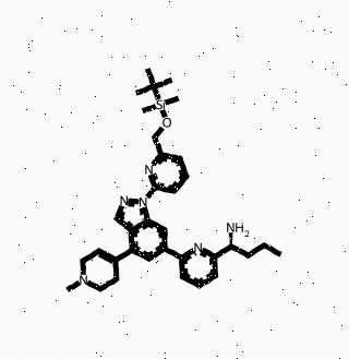 CCC[C@H](N)c1cccc(-c2cc(C3=CCN(C)CC3)c3cnn(-c4cccc(CO[Si](C)(C)C(C)(C)C)n4)c3c2)n1